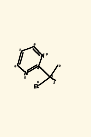 CCC(C)(C)c1ncccn1